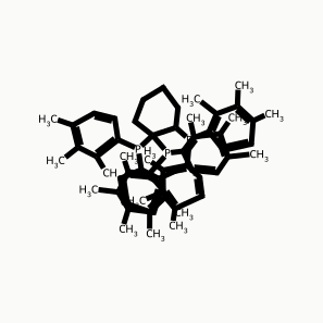 Cc1ccc(P(c2ccc(C)c(C)c2C)C2CCCCC2(P(c2ccc(C)c(C)c2C)c2ccc(C)c(C)c2C)P(c2ccc(C)c(C)c2C)c2ccc(C)c(C)c2C)c(C)c1C